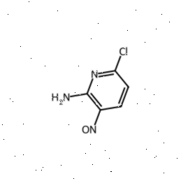 Nc1nc(Cl)ccc1N=O